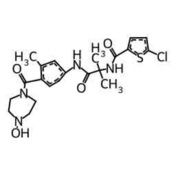 Cc1cc(NC(=O)C(C)(C)NC(=O)c2ccc(Cl)s2)ccc1C(=O)N1CCN(O)CC1